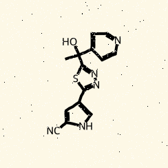 CC(O)(c1ccncc1)c1nnc(-c2c[nH]c(C#N)c2)s1